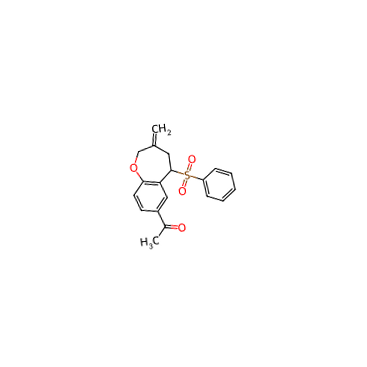 C=C1COc2ccc(C(C)=O)cc2C(S(=O)(=O)c2ccccc2)C1